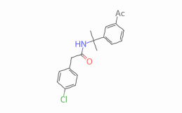 CC(=O)c1cccc(C(C)(C)NC(=O)Cc2ccc(Cl)cc2)c1